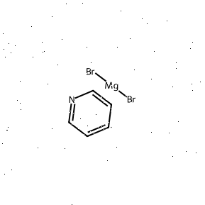 [Br][Mg][Br].[c]1ccncc1